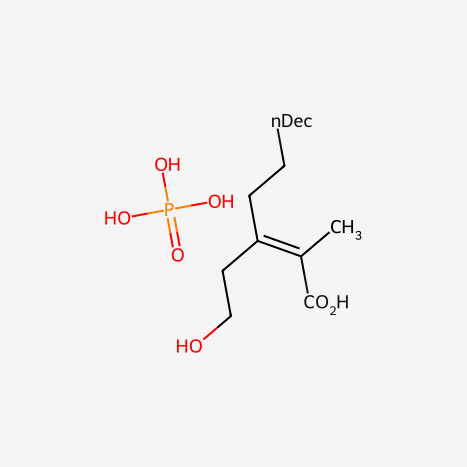 CCCCCCCCCCCCC(CCO)=C(C)C(=O)O.O=P(O)(O)O